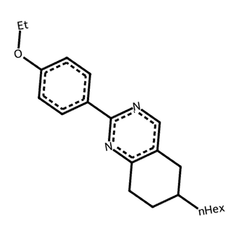 CCCCCCC1CCc2nc(-c3ccc(OCC)cc3)ncc2C1